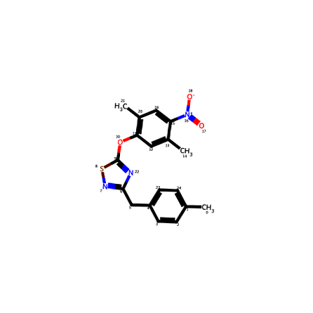 Cc1ccc(Cc2nsc(Oc3cc(C)c([N+](=O)[O-])cc3C)n2)cc1